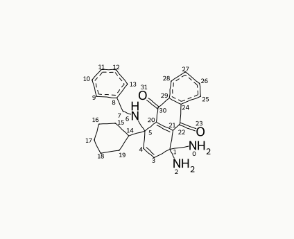 NC1(N)C=CC(NCc2ccccc2)(C2CCCCC2)C2=C1C(=O)c1ccccc1C2=O